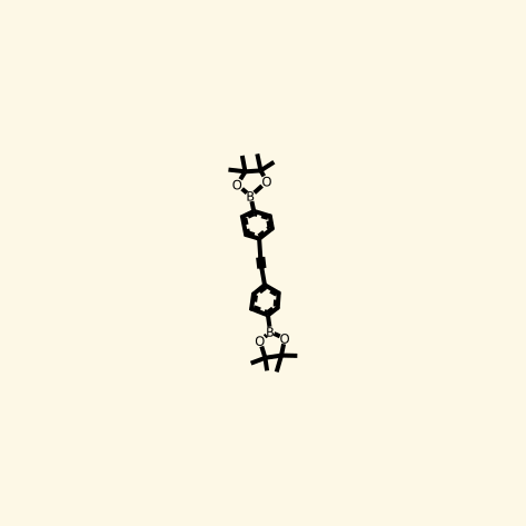 CC1(C)OB(c2ccc(C#Cc3ccc(B4OC(C)(C)C(C)(C)O4)cc3)cc2)OC1(C)C